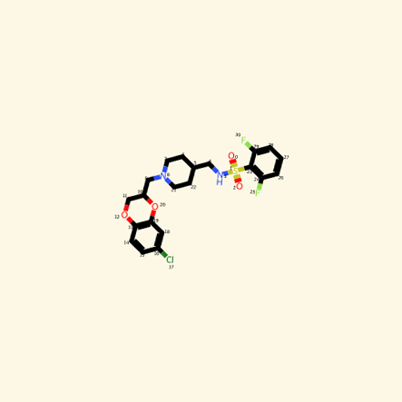 O=S(=O)(NCC1CCN(CC2COc3ccc(Cl)cc3O2)CC1)c1c(F)cccc1F